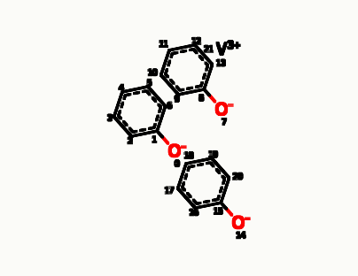 [O-]c1ccccc1.[O-]c1ccccc1.[O-]c1ccccc1.[V+3]